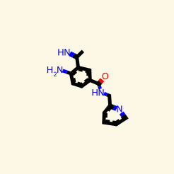 CC(=N)c1cc(C(=O)NCc2ccccn2)ccc1N